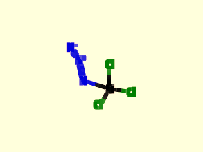 [N-]=[N+]=N[Si](Cl)(Cl)Cl